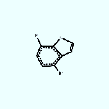 Fc1ccc(Br)c2c1[N]C=C2